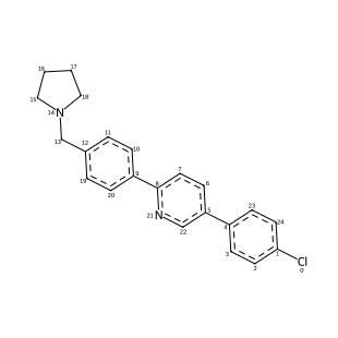 Clc1ccc(-c2ccc(-c3ccc(CN4CCCC4)cc3)nc2)cc1